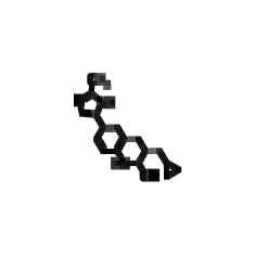 Cc1ncc(-c2ccc3c(c2)CC(CC2CC2)C(O)N3)[nH]1